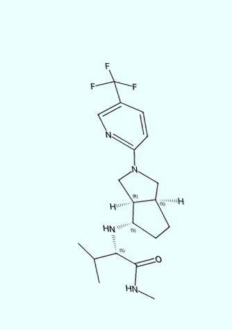 CNC(=O)[C@@H](N[C@H]1CC[C@@H]2CN(c3ccc(C(F)(F)F)cn3)C[C@@H]21)C(C)C